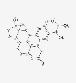 CC(C)N(C)c1ccc(C2CC3(C)C(O)CCC3C3CCC4=CC(=O)CCC4C23)cc1F